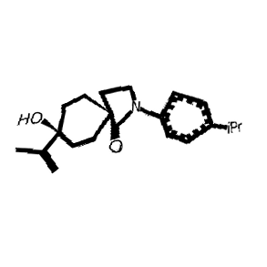 C=C(C)[C@]1(O)CC[C@]2(CCN(c3ccc(C(C)C)cc3)C2=O)CC1